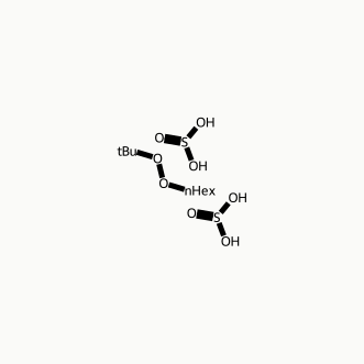 CCCCCCOOC(C)(C)C.O=S(O)O.O=S(O)O